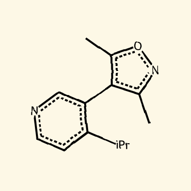 Cc1noc(C)c1-c1cnccc1C(C)C